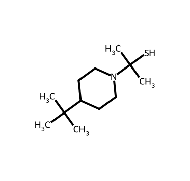 CC(C)(C)C1CCN(C(C)(C)S)CC1